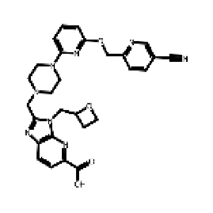 N#Cc1ccc(COc2cccc(N3CCN(Cc4nc5ccc(C(=O)O)nc5n4CC4CCO4)CC3)n2)nc1